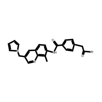 Cc1c(NC(=O)c2ccc(CC(=O)C(C)C)cc2)ccc2cc(Cn3cccc3)cnc12